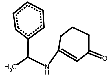 CC(NC1=CC(=O)CCC1)c1ccccc1